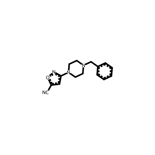 N#Cc1cc(N2CCN(Cc3ccccc3)CC2)no1